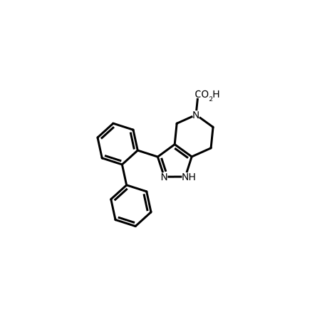 O=C(O)N1CCc2[nH]nc(-c3ccccc3-c3ccccc3)c2C1